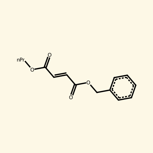 CCCOC(=O)/C=C/C(=O)OCc1ccccc1